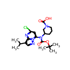 CC(C)c1cnn2c(N(C(=O)OC(C)(C)C)C3CCCN(C(=O)O)C3)cc(Cl)nc12